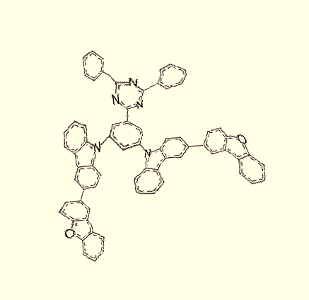 c1ccc(-c2nc(-c3ccccc3)nc(-c3cc(-n4c5ccccc5c5cc(-c6ccc7oc8ccccc8c7c6)ccc54)cc(-n4c5ccccc5c5cc(-c6ccc7oc8ccccc8c7c6)ccc54)c3)n2)cc1